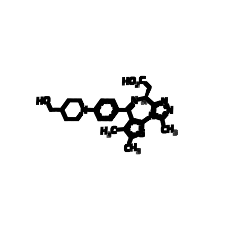 Cc1sc2c(c1C)C(c1ccc(N3CCC(CO)CC3)cc1)=N[C@@H](CC(=O)O)c1nnc(C)n1-2